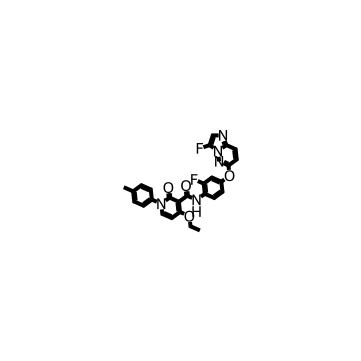 CCOc1ccn(-c2ccc(C)cc2)c(=O)c1C(=O)Nc1ccc(Oc2ccc3ncc(F)n3n2)cc1F